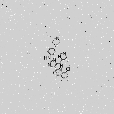 CN1CCN(c2ccc(Nc3ncc4c(=O)n(-c5c(F)cccc5Cl)nc(-c5ccncn5)c4n3)cc2)CC1